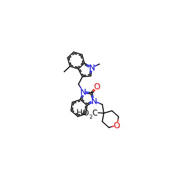 Cc1cccc2c1c(Cn1c(=O)n(CC3(C(=O)O)CCOCC3)c3ccccc31)cn2C